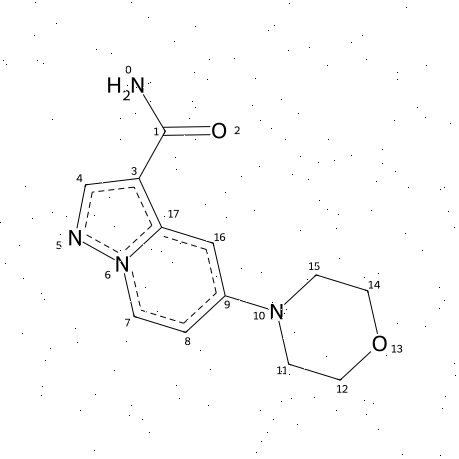 NC(=O)c1cnn2ccc(N3CCOCC3)cc12